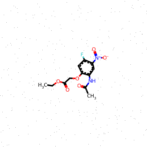 CCOC(=O)COc1cc(F)c([N+](=O)[O-])cc1NC(C)=O